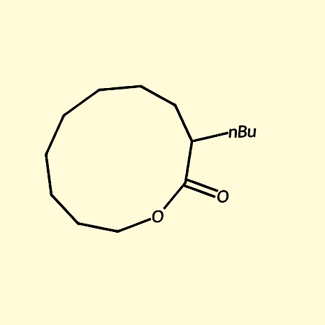 CCCCC1CCCCCCCCOC1=O